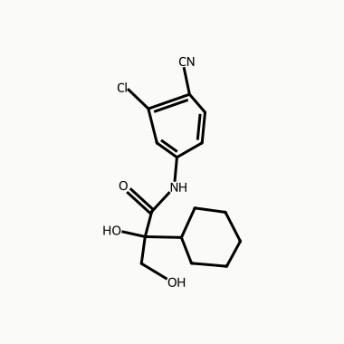 N#Cc1ccc(NC(=O)C(O)(CO)C2CCCCC2)cc1Cl